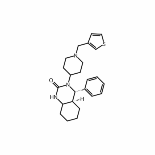 O=C1NC2CCCC[C@@H]2[C@@H](c2ccccc2)N1C1CCN(Cc2ccsc2)CC1